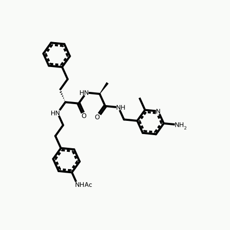 CC(=O)Nc1ccc(CCN[C@H](CCc2ccccc2)C(=O)N[C@@H](C)C(=O)NCc2ccc(N)nc2C)cc1